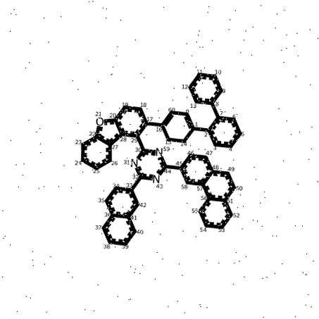 C1=C(c2ccccc2-c2ccccc2)CCC(c2ccc3oc4ccccc4c3c2-c2nc(-c3ccc4ccccc4c3)nc(-c3ccc4ccc5ccccc5c4c3)n2)=C1